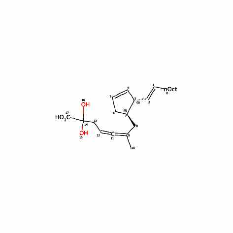 CCCCCCCCC=C[C@H]1C=CC[C@@H]1CC(C)=C=CCC(O)(O)C(=O)O